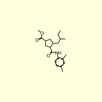 CCC(C)CC1CC(C(=O)OC)CC1C(=O)Nc1ccc(C)cc1C